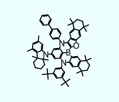 Cc1cc(C)c2c(c1)N(c1cc3c4c(c1)N(c1ccc(-c5ccccc5)cc1)c1c(oc5cc6c(cc15)C(C)(C)CCC6(C)C)B4c1cc4c(cc1N3c1cc(C(C)(C)C)cc(C(C)(C)C)c1)C(C)(C)CCC4(C)C)C1(C)CCCCC21C